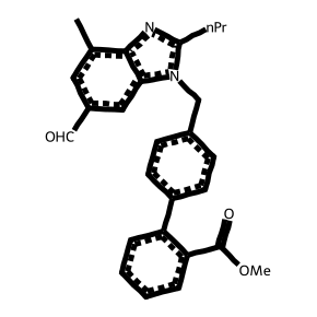 CCCc1nc2c(C)cc(C=O)cc2n1Cc1ccc(-c2ccccc2C(=O)OC)cc1